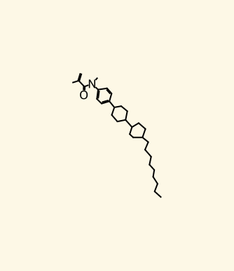 C=C(C)C(=O)N(C)c1ccc(C2CCC(C3CCC(CCCCCCCCC)CC3)CC2)cc1